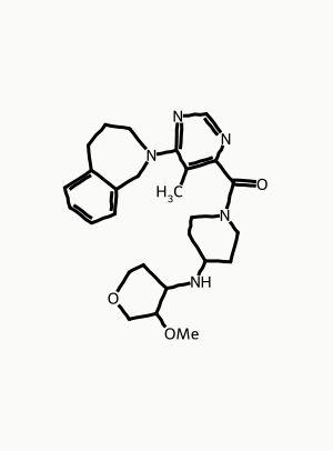 COC1COCCC1NC1CCN(C(=O)c2ncnc(N3CCCc4ccccc4C3)c2C)CC1